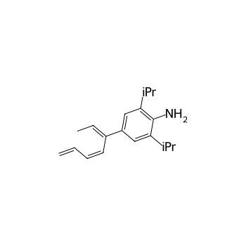 C=C/C=C\C(=C/C)c1cc(C(C)C)c(N)c(C(C)C)c1